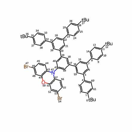 CC(C)(C)c1ccc(-c2cc(-c3ccc(C(C)(C)C)cc3)cc(-c3cc(-c4cc(-c5ccc(C(C)(C)C)cc5)cc(-c5ccc(C(C)(C)C)cc5)c4)cc(N4c5ccc(Br)cc5Oc5cc(Br)ccc54)c3)c2)cc1